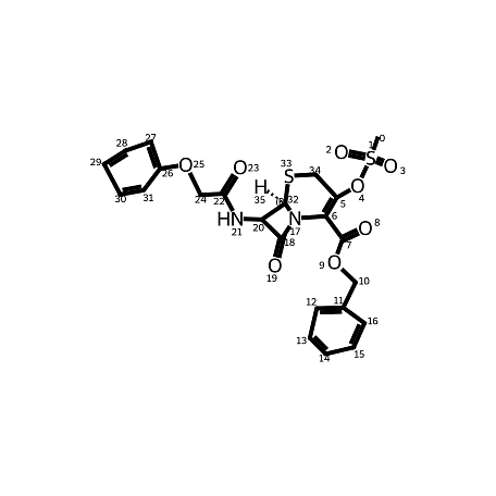 CS(=O)(=O)OC1=C(C(=O)OCc2ccccc2)N2C(=O)C(NC(=O)COc3ccccc3)[C@H]2SC1